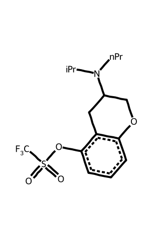 CCCN(C(C)C)C1COc2cccc(OS(=O)(=O)C(F)(F)F)c2C1